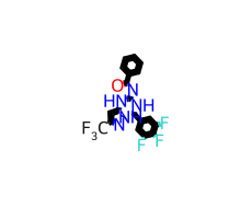 O=C(/N=C(/NCc1cc(F)c(F)c(F)c1)Nc1cc(C(F)(F)F)n[nH]1)c1ccccc1